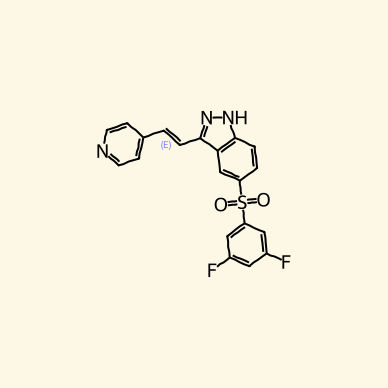 O=S(=O)(c1cc(F)cc(F)c1)c1ccc2[nH]nc(/C=C/c3ccncc3)c2c1